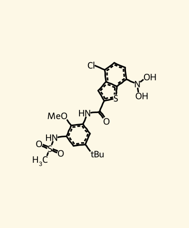 COc1c(NC(=O)c2cc3c(Cl)ccc(N(O)O)c3s2)cc(C(C)(C)C)cc1NS(C)(=O)=O